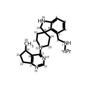 CCCNCc1cccc2c1C1(CCN(c3ncnc4c3C(C)CC4)CC1)CN2